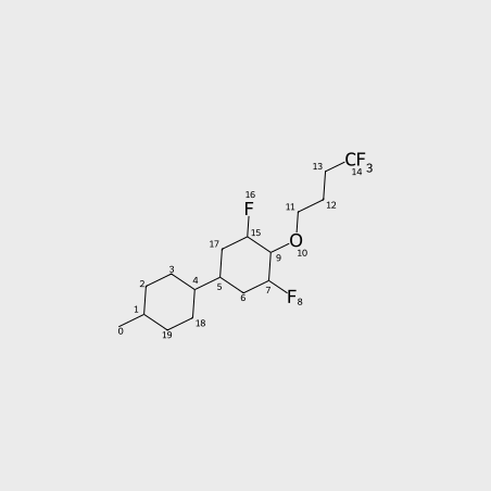 CC1CCC(C2CC(F)C(OCCCC(F)(F)F)C(F)C2)CC1